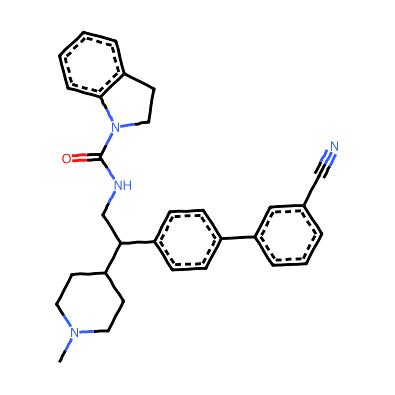 CN1CCC(C(CNC(=O)N2CCc3ccccc32)c2ccc(-c3cccc(C#N)c3)cc2)CC1